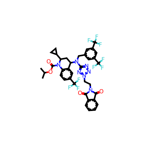 CC(C)OC(=O)N1c2ccc(C(F)(F)F)cc2C(N(Cc2cc(C(F)(F)F)cc(C(F)(F)F)c2)c2nnn(CCN3C(=O)c4ccccc4C3=O)n2)CC1C1CC1